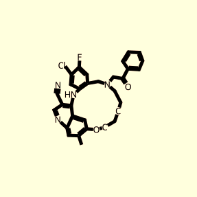 Cc1cc2ncc(C#N)c3c2cc1OCCCCCN(CC(=O)c1ccccc1)Cc1cc(F)c(Cl)cc1N3